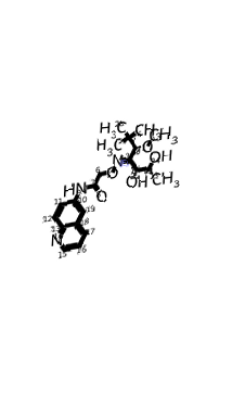 CO[C@H](/C(=N/OCC(=O)Nc1ccc2ncccc2c1)[C@@H](O)[C@@H](C)O)C(C)(C)C